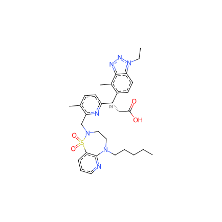 CCCCCN1CCN(Cc2nc([C@@H](CC(=O)O)c3ccc4c(nnn4CC)c3C)ccc2C)S(=O)(=O)c2cccnc21